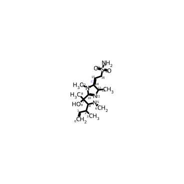 C=CC(C)C(N=C)C(C)(O)C1=NC(C)/C(=C\CS(N)(=O)=O)N1C